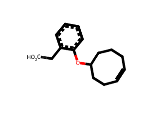 O=C(O)Cc1ccccc1OC1CCC=CCCC1